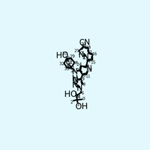 CC(C)(O)[C@H](O)Cn1cc(-c2cnc(-c3ccc4cc(C#N)cnn34)cc2NC23CCC(O)(CC2)CC3)nn1